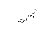 CC(=CCOC(=O)CCC1CC1)c1ccc(C)cc1